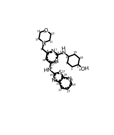 OC1CCC(Nc2nc(CN3CCOCC3)cc(Nc3nc4cccnc4s3)n2)CC1